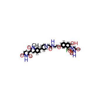 CN1C(=O)[C@H]([C@H]2CCC(=O)NC2=O)Cc2ccc(C3CCN(CC(=O)NCCOc4ccc5cc(O)c(N6CC(=O)NS6(=O)=O)c(F)c5c4)CC3)cc21